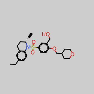 C#C[C@H]1CCc2cc(CC)ccc2N1S(=O)(=O)c1ccc(OCC2CCOCC2)c(CO)c1